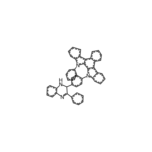 c1ccc(C2=Nc3ccccc3NC2c2ccc(-n3c4ccccc4c4c5ccccc5c5c6ccccc6n(-c6ccccc6)c5c43)cc2)cc1